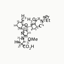 CCCC(CC)N1CCc2ccc(COc3c(C)cccc3-c3cccc(N4C[C@@H]5C[C@]5(C(=O)O)[C@H]4COC)n3)cc2[C@@H](C)C1